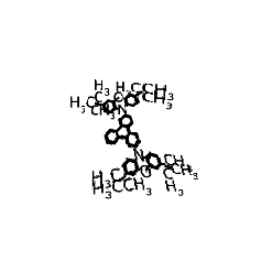 CC(C)(C)c1ccc2c(c1)Oc1cc(C(C)(C)C)ccc1N2c1ccc2c3ccc(N4c5ccc(C(C)(C)C)cc5Oc5cc(C(C)(C)C)ccc54)cc3c3ccccc3c2c1